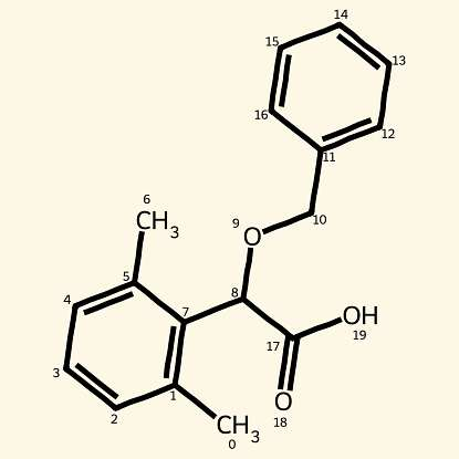 Cc1cccc(C)c1C(OCc1ccccc1)C(=O)O